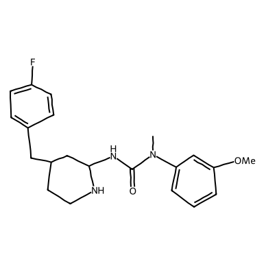 COc1cccc(N(C)C(=O)NC2CC(Cc3ccc(F)cc3)CCN2)c1